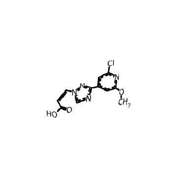 COc1cc(-c2ncn(/C=C\C(=O)O)n2)cc(Cl)n1